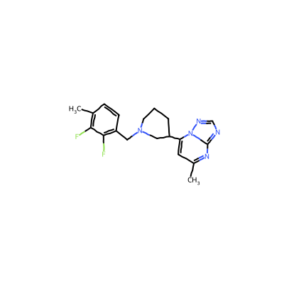 Cc1cc(C2CCCN(Cc3ccc(C)c(F)c3F)C2)n2ncnc2n1